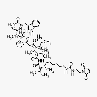 CC[C@H](C)[C@@H]([C@@H](CC(=O)N1CCC[C@H]1[C@H](OC)[C@@H](C)C(=O)N[C@@H](Cc1c[nH]c2ccccc12)C(N)=O)OC)N(C)[C@H](C(=O)NC(=O)[C@H](C(C)C)N(C)CCCCCCNC(=O)NCCN1C(=O)C=CC1=O)C(C)C